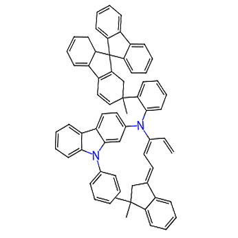 C=C/C(=C\C=C1/CC(C)(C)c2ccccc21)N(c1ccc2c3ccccc3n(-c3ccccc3)c2c1)c1ccccc1C1(C)C=CC2=C(C1)C1(c3ccccc3-c3ccccc31)C1CC=CC=C21